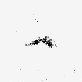 CCOC(=O)Cc1ccc(NC(=O)CN2CC[C@@H](NC(=O)c3cc(Cl)c(N)nc3OC)[C@@H](OC)C2)cc1